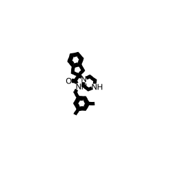 Cc1cc(C)cc(CNC(=O)C2(N3CCNCC3)Cc3ccccc3C2)c1